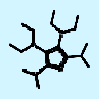 CCP(CC)c1c(C(C)C)sc(C(C)C)c1P(CC)CC